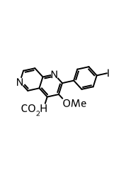 COc1c(-c2ccc(I)cc2)nc2ccncc2c1C(=O)O